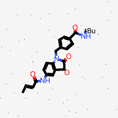 CC=CC(=O)Nc1ccc2c(c1)C(=O)C(=O)N2Cc1ccc(C(=O)NC(C)(C)C)cc1